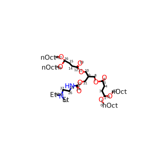 CCCCCCCCOC(CCC(=O)OCC(COC(=O)CCC(OCCCCCCCC)OCCCCCCCC)COC(=O)NCCN(CC)CC)OCCCCCCCC